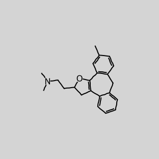 Cc1ccc2c(c1)C1=C(CC(CCN(C)C)O1)c1ccccc1C2